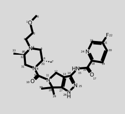 COCCN1C[C@H](C)N(C(=O)N2Cc3c(NC(=O)c4ccc(F)cn4)n[nH]c3C2(C)C)C[C@H]1C